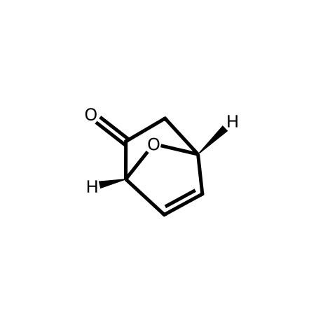 O=C1C[C@@H]2C=C[C@H]1O2